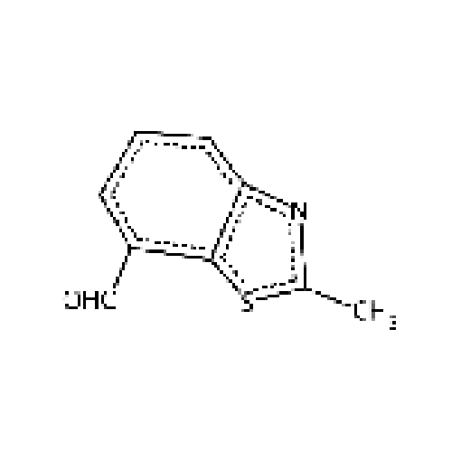 Cc1nc2cccc(C=O)c2s1